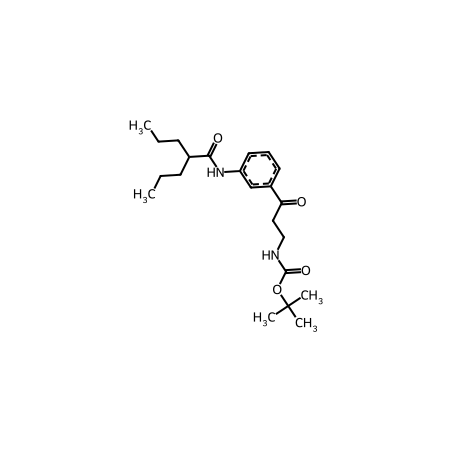 CCCC(CCC)C(=O)Nc1cccc(C(=O)CCNC(=O)OC(C)(C)C)c1